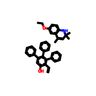 C=Cc1c(O)cc(-c2ccccc2)c(-c2ccccc2)c1-c1ccccc1.CCOc1ccc2c(c1)C(C)=CC(C)(C)N2